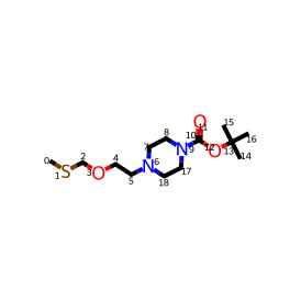 CSCOCCN1CCN(C(=O)OC(C)(C)C)CC1